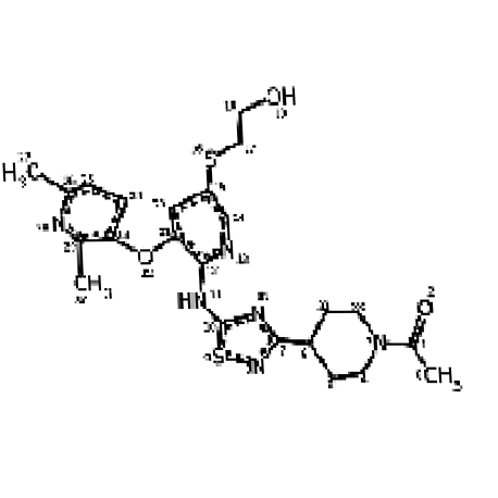 CC(=O)N1CCC(c2nsc(Nc3ncc(SCCO)cc3Oc3ccc(C)nc3C)n2)CC1